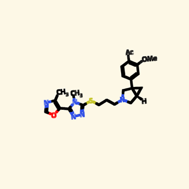 COc1cc(C23C[C@@H]2CN(CCCSc2nnc(-c4ocnc4C)n2C)C3)ccc1C(C)=O